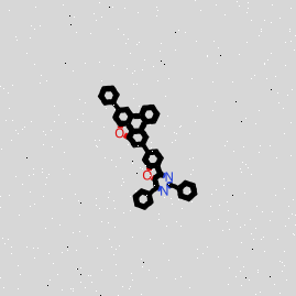 c1ccc(-c2cc3oc4cc(-c5ccc6c(c5)oc5c(-c7ccccc7)nc(-c7ccccc7)nc56)cc5c6ccccc6c(c2)c3c45)cc1